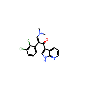 CN(C)/C=C(\C(=O)c1c[nH]c2ncccc12)c1cccc(Cl)c1Cl